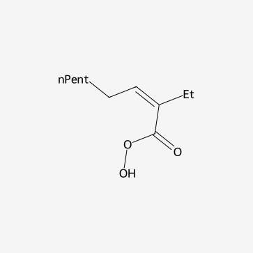 CCCCCC/C=C(/CC)C(=O)OO